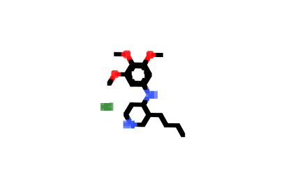 CCCCC1CNCCC1Nc1cc(OC)c(OC)c(OC)c1.Cl